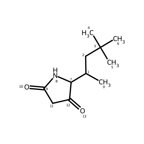 CC(CC(C)(C)C)C1NC(=O)CC1=O